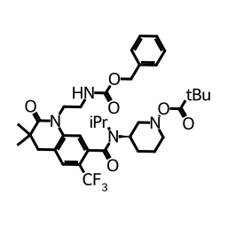 CC(C)N(C(=O)c1cc2c(cc1C(F)(F)F)CC(C)(C)C(=O)N2CCNC(=O)OCc1ccccc1)[C@@H]1CCCN(OC(=O)C(C)(C)C)C1